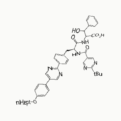 CCCCCCCOc1ccc(-c2cnc(-c3ccc(C[C@H](NC(=O)c4cnc(C(C)(C)C)nc4)C(=O)NC(C(=O)O)C(O)c4ccccc4)cc3)nc2)cc1